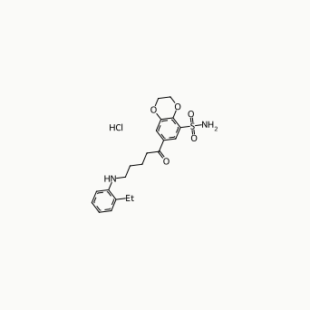 CCc1ccccc1NCCCCC(=O)c1cc2c(c(S(N)(=O)=O)c1)OCCO2.Cl